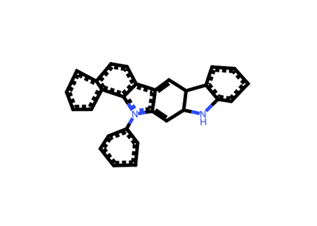 C1=c2c(n(-c3ccccc3)c3c2ccc2ccccc23)=CC2Nc3ccccc3C12